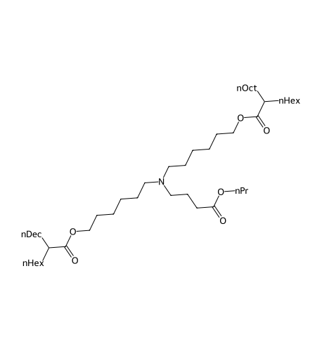 CCCCCCCCCCC(CCCCCC)C(=O)OCCCCCCN(CCCCCCOC(=O)C(CCCCCC)CCCCCCCC)CCCC(=O)OCCC